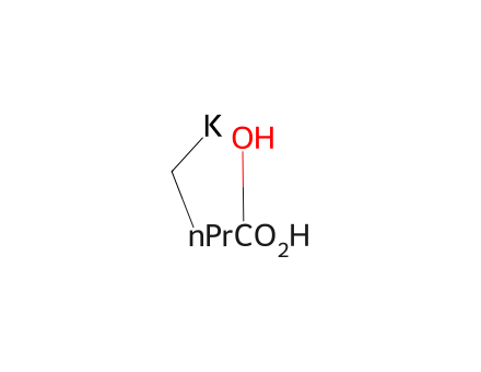 CCC[CH2][K].O=C(O)O